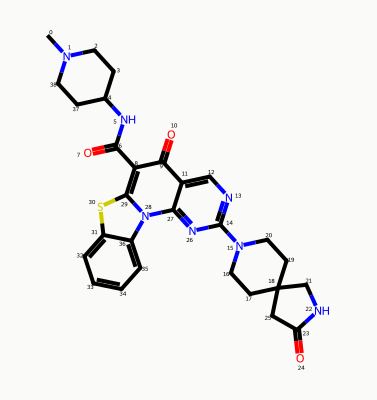 CN1CCC(NC(=O)c2c(=O)c3cnc(N4CCC5(CC4)CNC(=O)C5)nc3n3c2sc2ccccc23)CC1